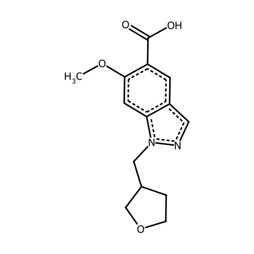 COc1cc2c(cnn2CC2CCOC2)cc1C(=O)O